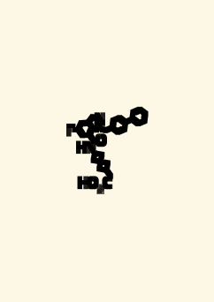 O=C(O)CC1CC2(C1)CC(NC(=O)c1cc(F)cc3cnn(Cc4ccc(-c5ccccc5)cc4)c13)C2